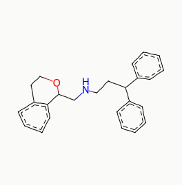 c1ccc(C(CCNCC2OCCc3ccccc32)c2ccccc2)cc1